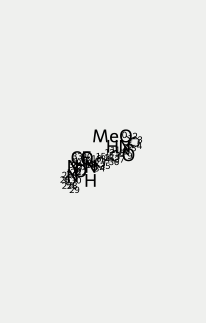 COc1ccccc1NC(=O)c1ccc(-c2ccc(NC(=O)c3oc(N4CCCC(C)C4)nc3C(F)(F)F)cc2)cc1